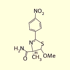 COC1SC(c2ccc([N+](=O)[O-])cc2)=N[C@]1(C)C(N)=O